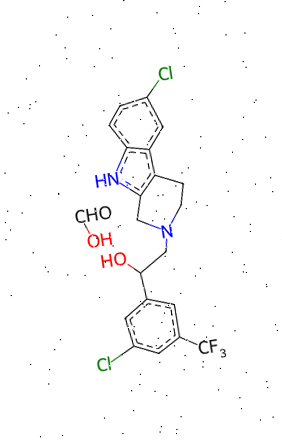 O=CO.OC(CN1CCc2c([nH]c3ccc(Cl)cc23)C1)c1cc(Cl)cc(C(F)(F)F)c1